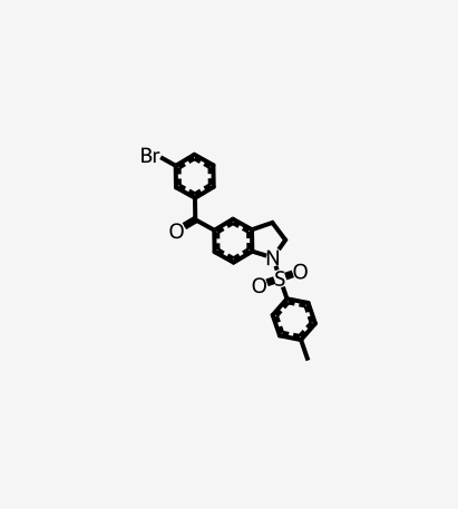 Cc1ccc(S(=O)(=O)N2CCc3cc(C(=O)c4cccc(Br)c4)ccc32)cc1